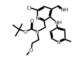 COCCN(Cc1nc(Cl)cc(C=N)c1Nc1ccnc(C)c1)C(=O)OC(C)(C)C